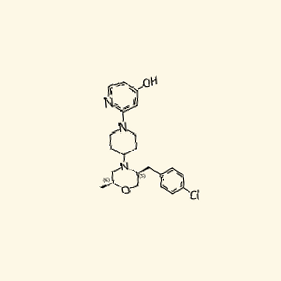 C[C@H]1CN(C2CCN(c3cc(O)ccn3)CC2)[C@@H](Cc2ccc(Cl)cc2)CO1